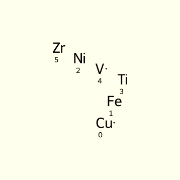 [Cu].[Fe].[Ni].[Ti].[V].[Zr]